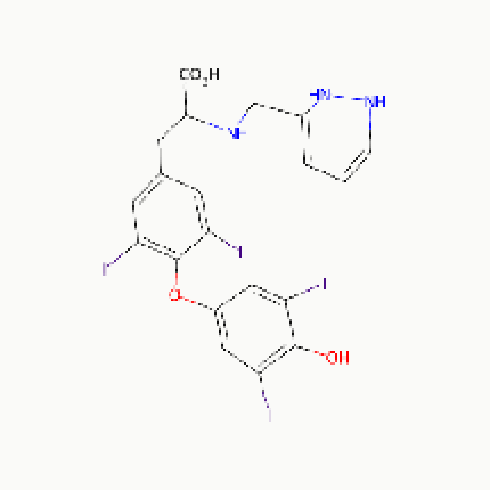 O=C(O)C(Cc1cc(I)c(Oc2cc(I)c(O)c(I)c2)c(I)c1)NCC1=CC=CNN1